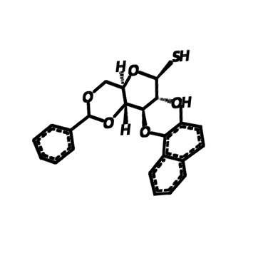 Cc1ccc2ccccc2c1O[C@@H]1[C@@H](O)[C@H](S)O[C@@H]2COC(c3ccccc3)O[C@@H]12